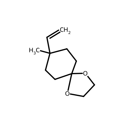 C=CC1(C)CCC2(CC1)OCCO2